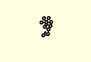 CC1(C)c2ccccc2-c2cccc(-c3cccc(-c4cccc5c6c(-c7ccccc7)c(-c7ccccc7)c(-c7ccccc7)c(-c7ccccc7)c6n(-c6ccccc6)c45)c3)c21